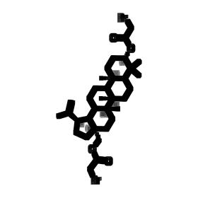 C=C(C)[C@@H]1CC[C@]2(COC(=O)CBr)CC[C@]3(C)C(CCC4[C@@]5(C)CC[C@H](OC(=O)CBr)C(C)(C)C5CC[C@]43C)C12